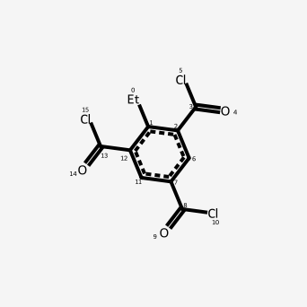 CCc1c(C(=O)Cl)cc(C(=O)Cl)cc1C(=O)Cl